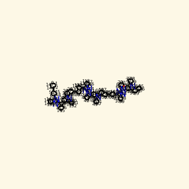 c1ccc(-c2ccc(-c3nc(C4c5ccccc5-c5c4cc4c6ccc7ccc(-c8cccc9c(-c%10nc(-n%11c%12ccccc%12c%12c%13c%14ccccc%14n%14c%15c%16ccc(-c%17ccc(-c%18nc(-n%19c%20ccccc%20c%20c%21c%22ccccc%22n%22c%23c%24ccccc%24ccc%23c(cc%20%19)c%21%22)nc%19ccccc%18%19)cc%17)cc%16ccc%15c(cc%12%11)c%13%14)nc%11ccccc%10%11)cccc89)cc7c6n6c7ccccc7c5c46)nc4ccccc34)cc2)cc1